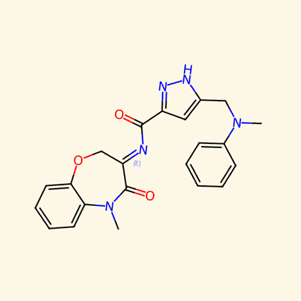 CN(Cc1cc(C(=O)/N=C2\COc3ccccc3N(C)C2=O)n[nH]1)c1ccccc1